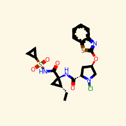 CC[C@@H]1C[C@]1(NC(=O)[C@@H]1C[C@@H](Oc2nc3ccccc3s2)CN1Cl)C(=O)NS(=O)(=O)C1CC1